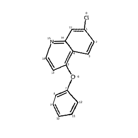 Clc1ccc2c(Oc3ccccc3)ccnc2c1